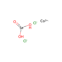 O=[Se](O)O.[Cl-].[Cl-].[Co+2]